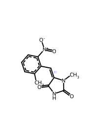 Cc1cccc([N+](=O)[O-])c1/C=C1\C(=O)NC(=O)N1C